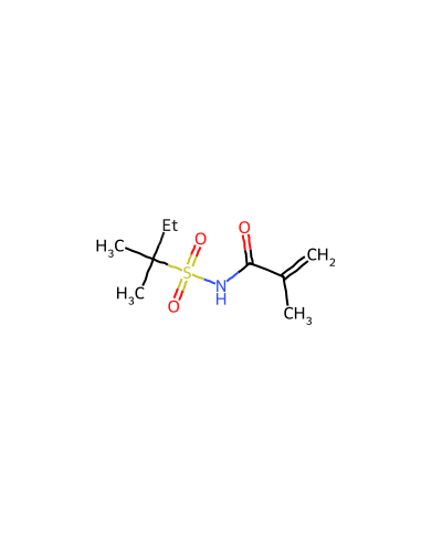 C=C(C)C(=O)NS(=O)(=O)C(C)(C)CC